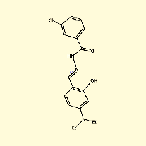 CCN(CC)c1ccc(/C=N/NC(=O)c2cccc(Cl)c2)c(O)c1